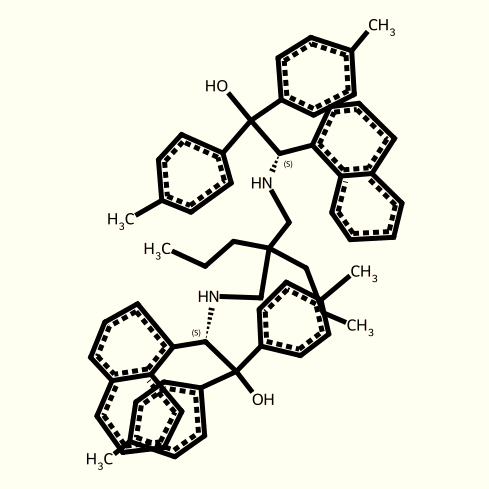 CCCC(CCC)(CN[C@@H](c1cccc2ccccc12)C(O)(c1ccc(C)cc1)c1ccc(C)cc1)CN[C@@H](c1cccc2ccccc12)C(O)(c1ccc(C)cc1)c1ccc(C)cc1